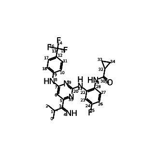 C[C](C)C(=N)c1cc(Nc2ccc(C(F)(F)F)cc2)nc(Nc2cc(F)ccc2NC(=O)C2CC2)n1